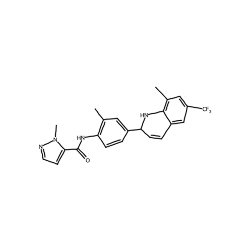 Cc1cc(C2C=Cc3cc(C(F)(F)F)cc(C)c3N2)ccc1NC(=O)c1ccnn1C